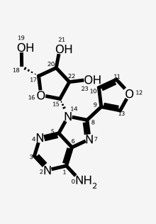 Nc1ncnc2c1nc(-c1ccoc1)n2[C@@H]1O[C@H](CO)C(O)C1O